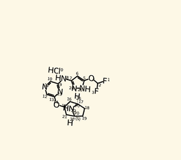 Cl.FC(F)Oc1cc(Nc2cncc(OC3C[C@H]4CC[C@@H](C3)N4)n2)n[nH]1